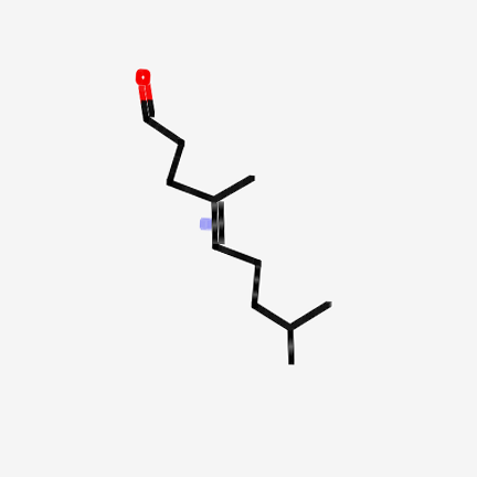 C/C(=C\CCC(C)C)CCC=O